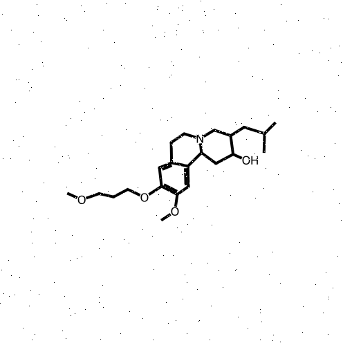 COCCCOc1cc2c(cc1OC)C1CC(O)C(CC(C)C)CN1CC2